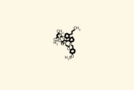 CCCCc1cccc([C@]2([C@H](Oc3nc(C)cc(C)n3)C(=O)O)NCC(=O)N(Cc3ccc(OC)cc3)c3ccccc32)c1